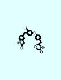 O=C1CC2=CC(=Cc3ccc(Oc4ccc(CC5COCC(=O)N5)cc4)cc3Cl)CC=C2N1